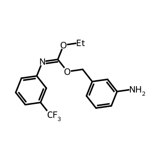 CCOC(=Nc1cccc(C(F)(F)F)c1)OCc1cccc(N)c1